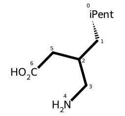 CCC[C@@H](C)CC(CN)CC(=O)O